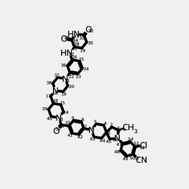 C[C@@H]1CC2(CCN(c3ccc(C(=O)N4CCC(CN5CCN(c6cccc(N[C@@H]7CCC(=O)NC7=O)c6)CC5)CC4)cc3)CC2)CN1c1ccc(C#N)c(Cl)c1